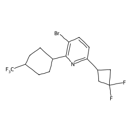 FC1(F)CC(c2ccc(Br)c(C3CCC(C(F)(F)F)CC3)n2)C1